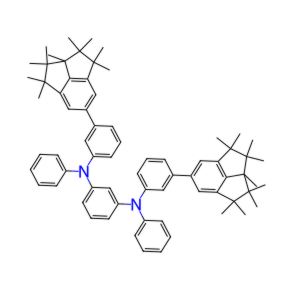 CC1(C)c2cc(-c3cccc(N(c4ccccc4)c4cccc(N(c5ccccc5)c5cccc(-c6cc7c8c(c6)C(C)(C)C(C)(C)C8(C)C(C)(C)C7(C)C)c5)c4)c3)cc3c2C(C)(C1(C)C)C(C)(C)C3(C)C